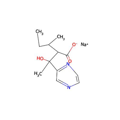 CCC(C)C(C(=O)[O-])C(C)(O)c1cnccn1.[Na+]